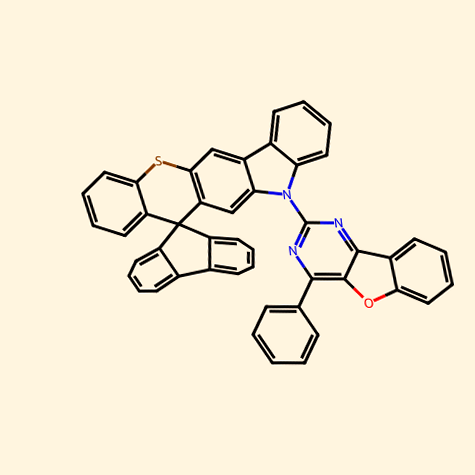 c1ccc(-c2nc(-n3c4ccccc4c4cc5c(cc43)C3(c4ccccc4S5)c4ccccc4-c4ccccc43)nc3c2oc2ccccc23)cc1